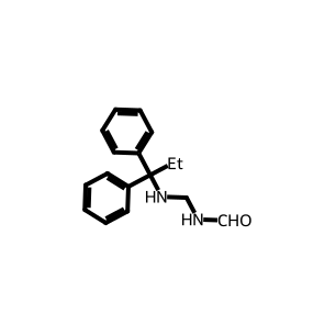 CCC(NCNC=O)(c1ccccc1)c1ccccc1